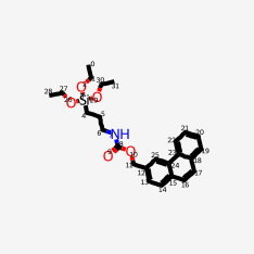 CCO[Si](CCCNC(=O)OCc1ccc2ccc3ccccc3c2c1)(OCC)OCC